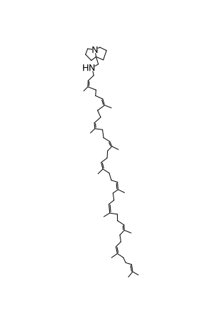 CC(C)=CCCC(C)=CCCC(C)=CCCC(C)=CCCC(C)=CCCC(C)=CCCC(C)=CCCC(C)=CCCC(C)=CCCC(C)=CCNCC12CCCN1CCC2